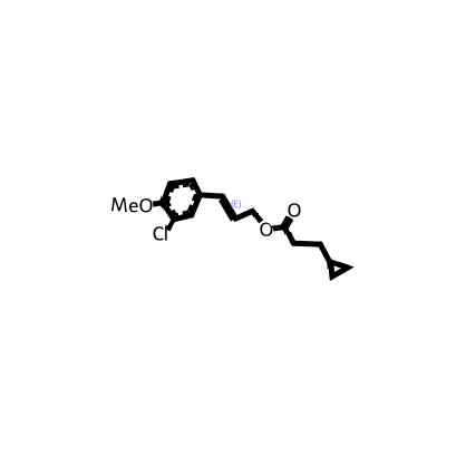 COc1ccc(/C=C/COC(=O)CCC2CC2)cc1Cl